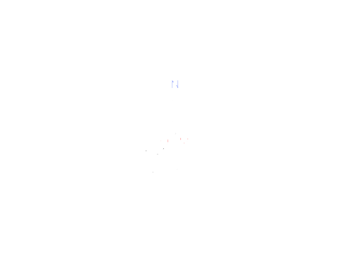 O=C(OC12CC3CC(CC(C3)C1)C2)c1ccc2ncccc2c1